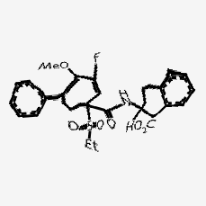 CCS(=O)(=O)C1(C(=O)NC2(C(=O)O)Cc3ccccc3C2)C=C(F)C(OC)=C(c2ccccc2)C1